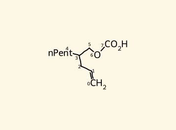 C=CCC(CCCCC)COC(=O)O